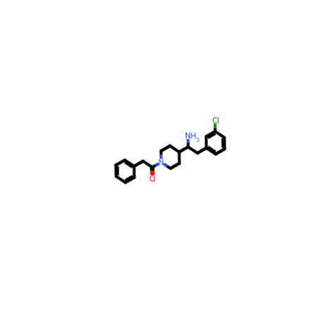 NC(Cc1cccc(Cl)c1)C1CCN(C(=O)Cc2ccccc2)CC1